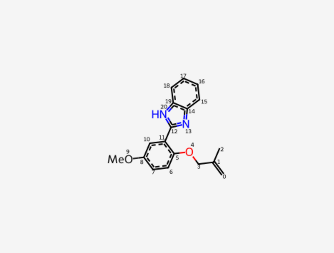 C=C(C)COc1ccc(OC)cc1-c1nc2ccccc2[nH]1